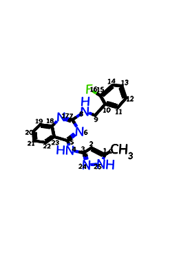 Cc1cc(Nc2nc(NCc3ccccc3F)nc3ccccc23)n[nH]1